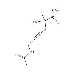 COC(=O)C(C)(N)CC#CCNC(C)=N